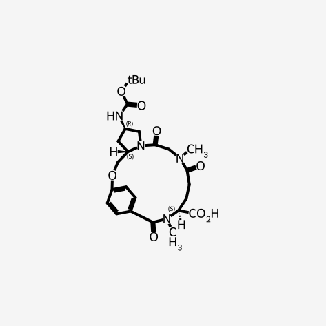 CN1CC(=O)N2C[C@H](NC(=O)OC(C)(C)C)C[C@H]2COc2ccc(cc2)C(=O)N(C)[C@H](C(=O)O)CCC1=O